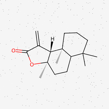 C=C1C(=O)O[C@]2(C)CCC3C(C)(C)CCC[C@]3(C)[C@@H]12